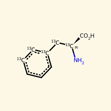 N[13C@@H]([13CH2][13c]1ccc[13cH][13cH]1)C(=O)O